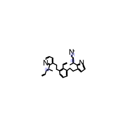 C=C/C=C(\C)c1ncccc1CCc1cccc(CCc2cccnc2/C(C)=C/C=N\C)c1C=C